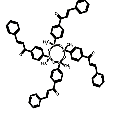 C[Si]1(c2ccc(C(=O)C=Cc3ccccc3)cc2)O[Si](C)(c2ccc(C(=O)C=Cc3ccccc3)cc2)O[Si](C)(c2ccc(C(=O)C=Cc3ccccc3)cc2)O[Si](C)(c2ccc(C(=O)C=Cc3ccccc3)cc2)O1